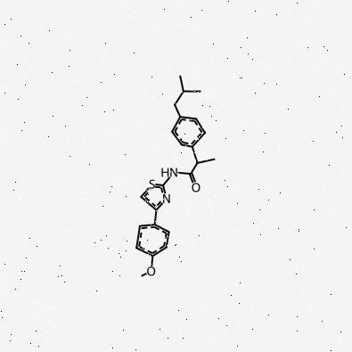 COc1ccc(-c2csc(NC(=O)C(C)c3ccc(CC(C)C)cc3)n2)cc1